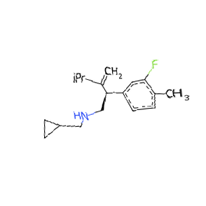 C=C(C(C)C)[C@H](CNCC1CC1)c1ccc(C)c(F)c1